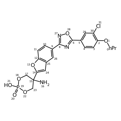 CCCOc1ccc(-c2nc(-c3ccc4oc(C5(N)COP(=O)(O)OC5)cc4c3)no2)cc1Cl